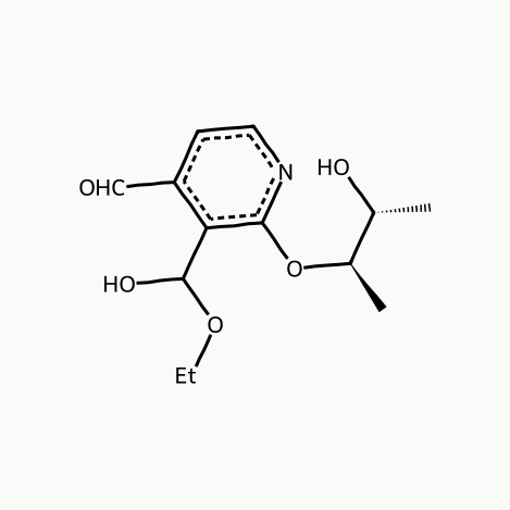 CCOC(O)c1c(C=O)ccnc1O[C@H](C)[C@@H](C)O